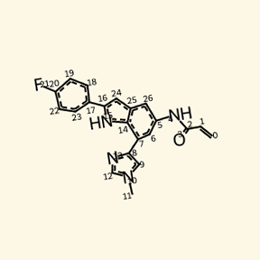 C=CC(=O)Nc1cc(-c2cn(C)cn2)c2[nH]c(-c3ccc(F)cc3)cc2c1